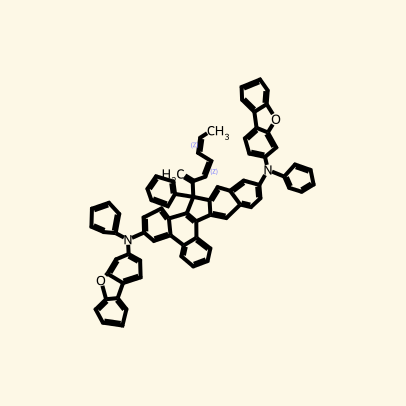 C=C(/C=C\C=C/C)C1(c2ccccc2)c2cc3cc(N(c4ccccc4)c4ccc5c(c4)oc4ccccc45)ccc3cc2-c2c1c1ccc(N(c3ccccc3)c3ccc4c(c3)oc3ccccc34)cc1c1ccccc21